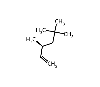 C=C[C@@H](C)CC(C)(C)C